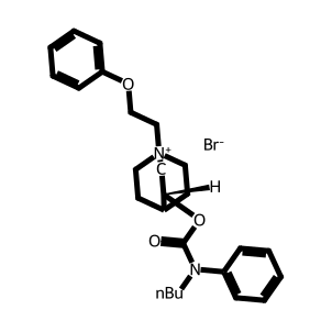 CCCCN(C(=O)O[C@H]1C[N+]2(CCOc3ccccc3)CCC1CC2)c1ccccc1.[Br-]